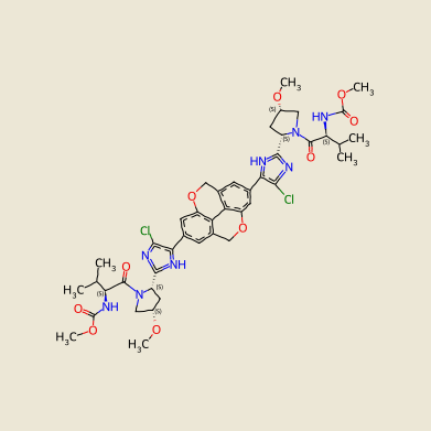 COC(=O)N[C@H](C(=O)N1C[C@@H](OC)C[C@H]1c1nc(Cl)c(-c2cc3c4c(c2)OCc2cc(-c5[nH]c([C@@H]6C[C@H](OC)CN6C(=O)[C@@H](NC(=O)OC)C(C)C)nc5Cl)cc(c2-4)OC3)[nH]1)C(C)C